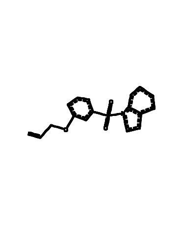 C=CCOc1cccc(S(=O)(=O)n2ccc3ccccc32)c1